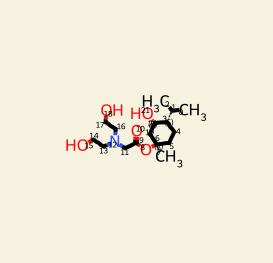 CC(C)[C@@H]1CC[C@@](C)(OC(=O)CN(CCO)CCO)C[C@H]1O